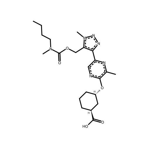 CCCCN(C)C(=O)OCc1c(-c2cnc(O[C@H]3CCC[C@H](C(=O)O)C3)c(C)n2)nnn1C